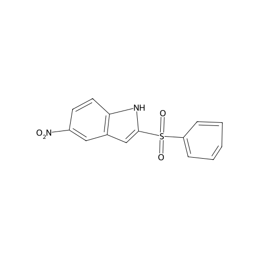 O=[N+]([O-])c1ccc2[nH]c(S(=O)(=O)c3ccccc3)cc2c1